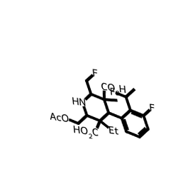 CCC1(C(=O)O)C(COC(C)=O)NC(CF)C(C)(C(=O)O)C1c1cccc(F)c1C(C)F